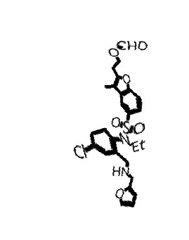 CCN(c1ccc(Cl)cc1CNCc1ccco1)S(=O)(=O)c1ccc2oc(CCOC=O)c(C)c2c1